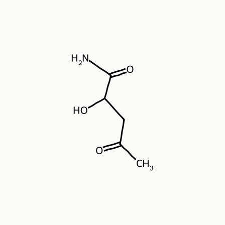 CC(=O)CC(O)C(N)=O